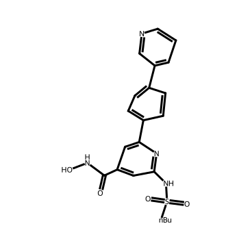 CCCCS(=O)(=O)Nc1cc(C(=O)NO)cc(-c2ccc(-c3cccnc3)cc2)n1